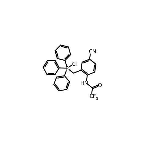 N#Cc1ccc(NC(=O)C(F)(F)F)c(CP(Cl)(c2ccccc2)(c2ccccc2)c2ccccc2)c1